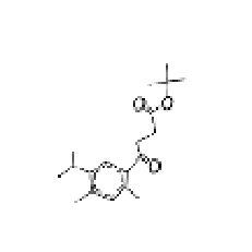 Cc1cc(C)c(C(C)C)cc1C(=O)CCC(=O)OC(C)(C)C